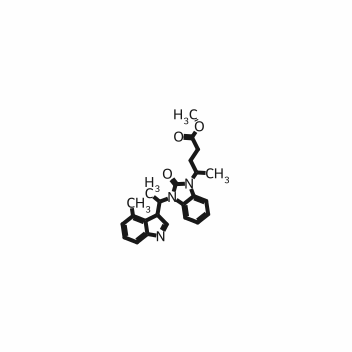 COC(=O)CCC(C)n1c(=O)n(C(C)C2C=Nc3cccc(C)c32)c2ccccc21